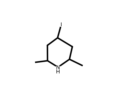 CC1CC(I)CC(C)N1